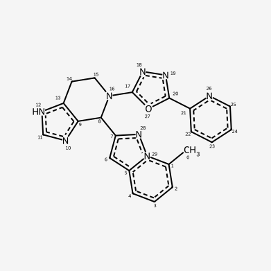 Cc1cccc2cc(C3c4nc[nH]c4CCN3c3nnc(-c4ccccn4)o3)nn12